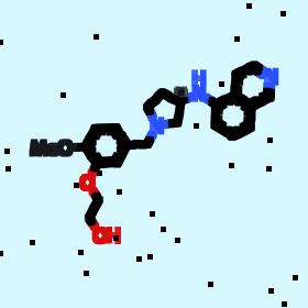 COc1ccc(CN2CC[C@@H](Nc3cccc4cnccc34)C2)cc1OCCO